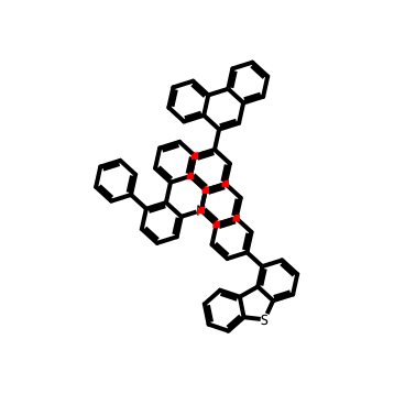 c1ccc(-c2ccccc2-c2c(-c3ccccc3)cccc2N(c2ccc(-c3cc4ccccc4c4ccccc34)cc2)c2ccc(-c3cccc4sc5ccccc5c34)cc2)cc1